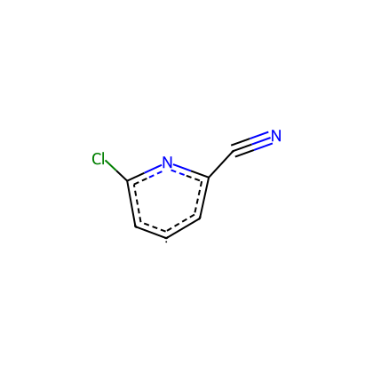 N#Cc1c[c]cc(Cl)n1